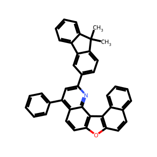 CC1(C)c2ccccc2-c2cc(-c3cc(-c4ccccc4)c4ccc5oc6ccc7ccccc7c6c5c4n3)ccc21